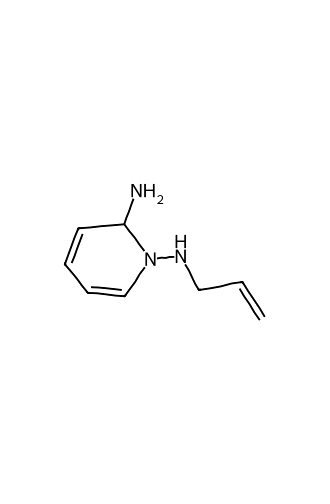 C=CCNN1C=CC=CC1N